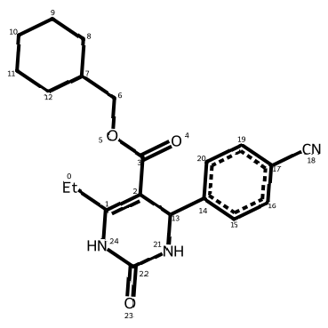 CCC1=C(C(=O)OCC2CCCCC2)C(c2ccc(C#N)cc2)NC(=O)N1